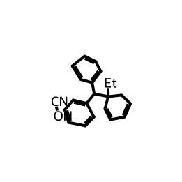 CCC1(C(c2ccccc2)c2ccccc2)C=CC=CC1.N#CO